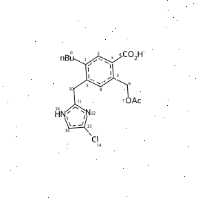 CCCCc1cc(C(=O)O)c(COC(C)=O)cc1Cc1nc(Cl)c[nH]1